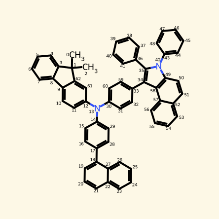 CC1(C)c2ccccc2-c2ccc(N(c3ccc(-c4cccc5ccccc45)cc3)c3ccc(-c4c(-c5ccccc5)n(-c5ccccc5)c5ccc6ccccc6c45)cc3)cc21